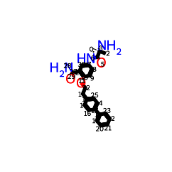 [CH2][C@@](C)(N)C(=O)Nc1ccc(OCCc2ccc(-c3ccccc3)cc2)c(C(N)=O)c1